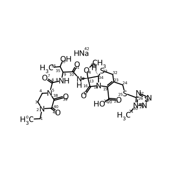 CCN1CCN(C(=O)NC(C(=O)N[C@]2(OC)C(=O)N3C(C(=O)O)=C(CSc4nnnn4C)CS[C@@H]32)C(C)O)C(=O)C1=O.[NaH]